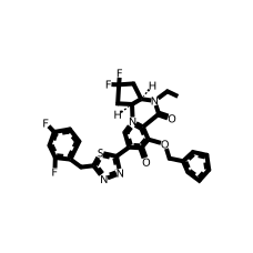 CCN1C(=O)c2c(OCc3ccccc3)c(=O)c(-c3nnc(Cc4ccc(F)cc4F)s3)cn2[C@H]2CC(F)(F)C[C@H]21